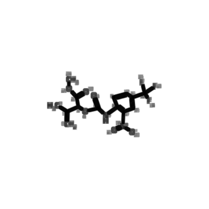 C=C(C)C(OC(=O)Nc1ccc(C(F)(F)F)cc1[N+](=O)[O-])C(=O)OC